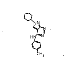 Cc1ccc(Nc2ncnc3nn(C4CCCCC4)cc23)cc1